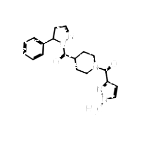 Cn1ccc(C(=O)N2CCC(C(=O)N3N=CCC3c3ccccc3)CC2)n1